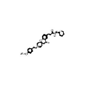 COc1ccc(CCN2CCC3(CC2)CC(=O)c2cc(C=CC(=O)NOC4CCCCO4)ccc2O3)cc1